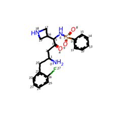 NC(CC(=O)C(NS(=O)(=O)c1ccccc1)C1CNC1)Cc1ccccc1F